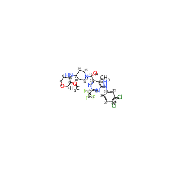 CO[C@H]1COCC[C@H]1NC1CCN(C(=O)c2nc(C(F)(F)F)nc(Nc3ccc(Cl)c(Cl)c3)c2C)CC1